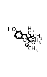 COC(=O)C1(C(C)(C)C)Cc2cc(O)ccc2O1